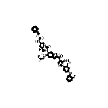 Cc1cc(Oc2ccccc2F)ccc1-n1ncc(C(=O)c2cc3cc(OCC(F)F)c(N4C(=O)[C@@H]5CC(NC(=O)OCc6ccccc6)CN5C4=O)cc3[nH]2)c1N